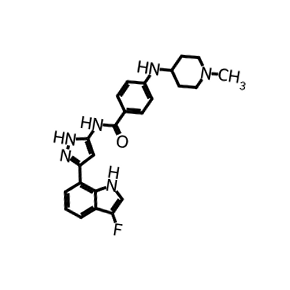 CN1CCC(Nc2ccc(C(=O)Nc3cc(-c4cccc5c(F)c[nH]c45)n[nH]3)cc2)CC1